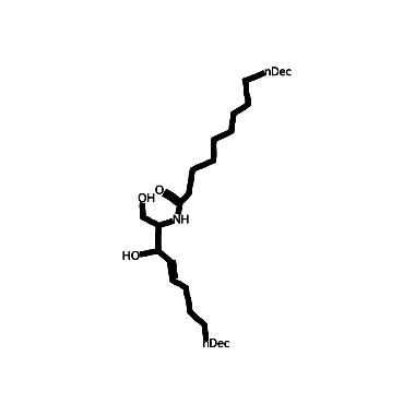 CCCCCCCCCCCCC/C=C/C(O)C(CO)NC(=O)CCCCCCCCCCCCCCCCCC